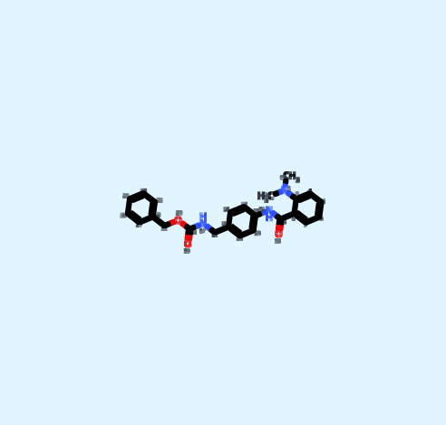 CN(C)c1ccccc1C(=O)Nc1ccc(CNC(=O)OCc2ccccc2)cc1